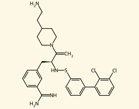 C=C([C@H](Cc1cccc(C(=N)N)c1)NSc1cccc(-c2cccc(Cl)c2Cl)c1)N1CCC(CCN)CC1